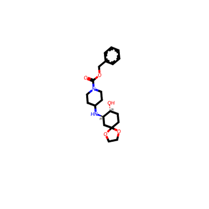 O=C(OCc1ccccc1)N1CCC(N[C@@H]2CC3(CC[C@H]2O)OCCO3)CC1